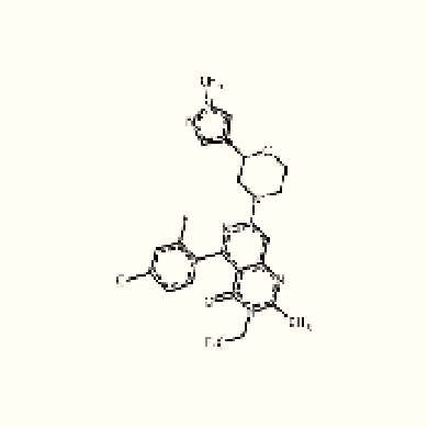 Cc1nc2cc(N3CCO[C@H](c4cnn(C)c4)C3)nc(-c3ccc(Cl)cc3F)c2c(=O)n1CC(F)(F)F